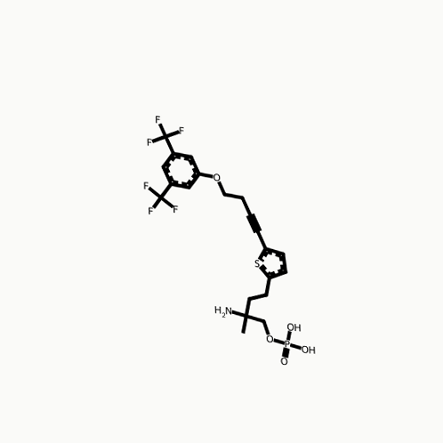 CC(N)(CCc1ccc(C#CCCOc2cc(C(F)(F)F)cc(C(F)(F)F)c2)s1)COP(=O)(O)O